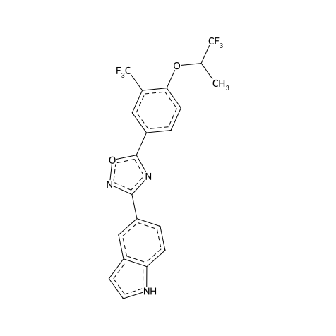 CC(Oc1ccc(-c2nc(-c3ccc4[nH]ccc4c3)no2)cc1C(F)(F)F)C(F)(F)F